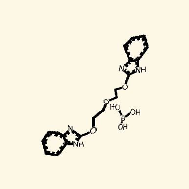 OB(O)O.c1ccc2[nH]c(OCCOCCOc3nc4ccccc4[nH]3)nc2c1